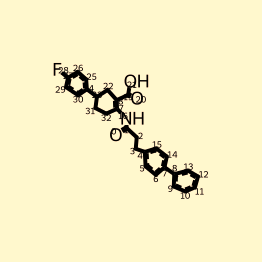 O=C(CCc1ccc(-c2ccccc2)cc1)NC1=C(C(=O)O)CC(c2ccc(F)cc2)CC1